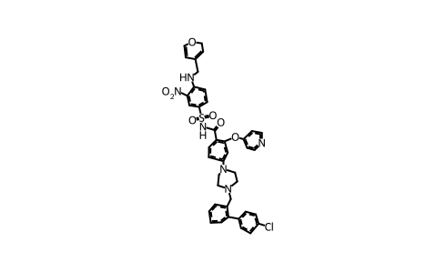 O=C(NS(=O)(=O)c1ccc(NCC2=CCOC=C2)c([N+](=O)[O-])c1)c1ccc(N2CCN(Cc3ccccc3-c3ccc(Cl)cc3)CC2)cc1Oc1ccncc1